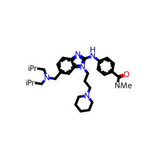 CNC(=O)c1ccc(Nc2nc3ccc(CN(CC(C)C)CC(C)C)cc3n2CCCN2CCCCC2)cc1